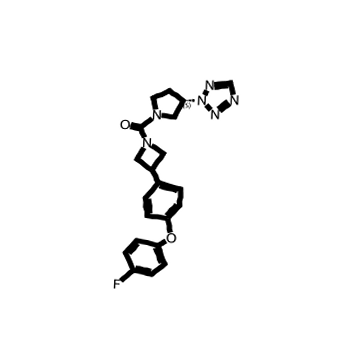 O=C(N1CC(c2ccc(Oc3ccc(F)cc3)cc2)C1)N1CC[C@H](n2ncnn2)C1